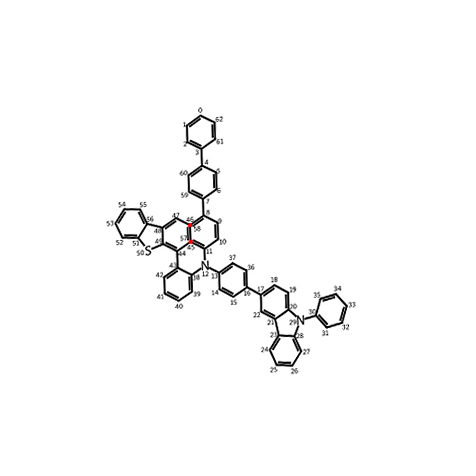 c1ccc(-c2ccc(-c3ccc(N(c4ccc(-c5ccc6c(c5)c5ccccc5n6-c5ccccc5)cc4)c4ccccc4-c4cccc5c4sc4ccccc45)cc3)cc2)cc1